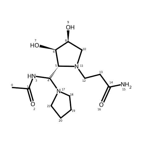 CC(=O)NC([C@@H]1[C@@H](O)[C@@H](O)CN1CCC(N)=O)N1CCCC1